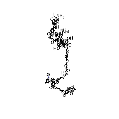 C=C1C[C@H]2C=Nc3cc(OCCCCCOc4cc(NC(=O)OCCSSC[C@@H](C)NC(=O)CCOCCOCCOCCOCCNC(=O)[C@H](CC(=O)O)NC(=O)[C@H](CC(=O)O)NC(=O)[C@H](CCCNC(=N)N)NC(=O)[C@H](CC(=O)O)NC(=O)CC[C@@H](C)NC(=O)c5ccc(NCc6cnc7nc(N)[nH]c(=O)c7n6)cc5)c(C(=O)N5CC(=C)C[C@H]5/C=N/OC)cc4OC)c(OC)cc3C(=O)N2C1